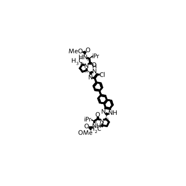 C=C1CC[C@@H](c2nc3c(ccc4cc(-c5ccc(-c6nc([C@@H]7CC[C@H](C)N7C(=O)[C@@H](NC(=O)OC)C(C)C)[nH]c6Cl)cc5)ccc43)[nH]2)N1C(=O)[C@@H](NC(=O)OC)C(C)C